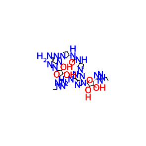 CCn1nnc([C@H]2O[C@@H](n3cnc4c(N)nc(N5CC[C@@H](NC(=O)N[C@H]6CCN(c7nc(N)c8ncn([C@@H]9O[C@H](c%10nnn(CC)n%10)[C@@H](O)[C@H]9O)c8n7)C6)C5)nc43)[C@H](O)[C@@H]2O)n1